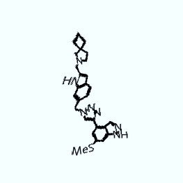 CSc1cc(-c2cn(Cc3ccc4cc(CN5CCC6(CCC6)C5)[nH]c4c3)nn2)c2cn[nH]c2c1